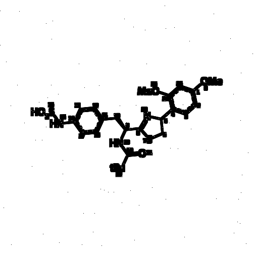 COc1ccc(C2CSC([C@H](Cc3ccc(NS(=O)(=O)O)cc3)NC(=O)C(C)(C)C)=N2)c(OC)c1